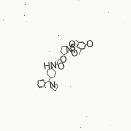 COc1cc(C)c(S(=O)(=O)N2CCCC(OCC(=O)NC3CCC(C(c4ccccc4)N4CCCC4)CC3)C2)c(C)c1